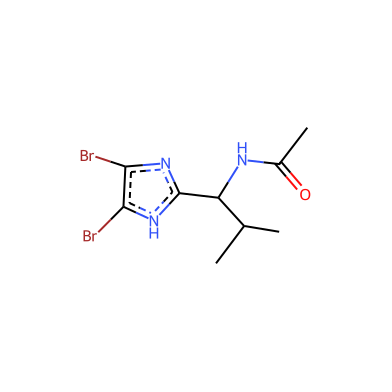 CC(=O)NC(c1nc(Br)c(Br)[nH]1)C(C)C